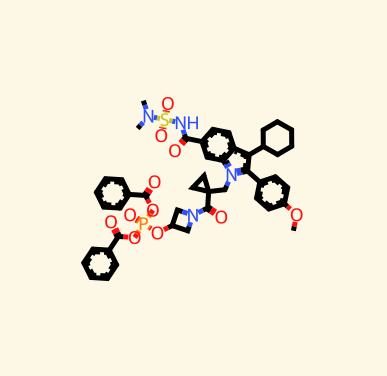 COc1ccc(-c2c(C3CCCCC3)c3ccc(C(=O)NS(=O)(=O)N(C)C)cc3n2CC2(C(=O)N3CC(OP(=O)(OC(=O)c4ccccc4)OC(=O)c4ccccc4)C3)CC2)cc1